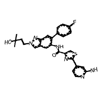 CC(C)(O)CCn1cc2cc(NC(=O)c3csc(-c4ccnc(N)c4)n3)c(-c3ccc(F)cc3)cc2n1